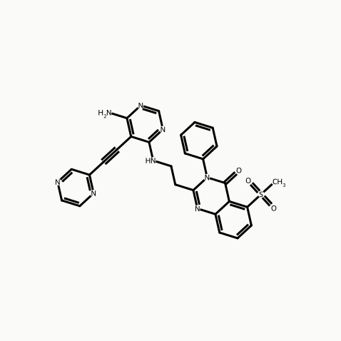 CS(=O)(=O)c1cccc2nc(CCNc3ncnc(N)c3C#Cc3cnccn3)n(-c3ccccc3)c(=O)c12